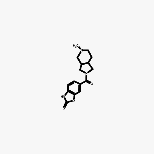 CN1CCC2CN(C(=O)c3ccc4[nH]c(=O)oc4c3)CC2C1